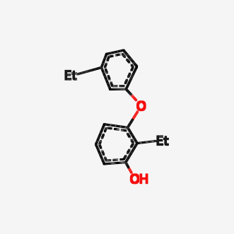 CCc1cccc(Oc2cccc(O)c2CC)c1